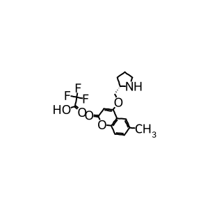 Cc1ccc2oc(=O)cc(OC[C@@H]3CCCN3)c2c1.O=C(O)C(F)(F)F